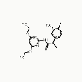 CN(C(=O)Nc1nc(OCC(F)(F)F)cc(OCC(F)(F)F)n1)c1ccc(Br)c(C(F)(F)F)c1